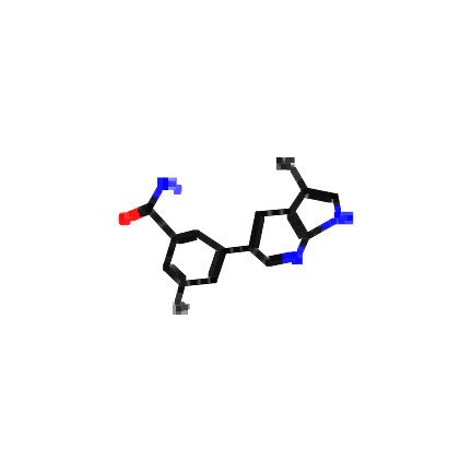 CC(C)c1cc(C(N)=O)cc(-c2cnc3[nH]cc(C#N)c3c2)c1